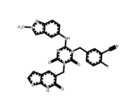 Cn1cc2cc(Nc3nc(=O)n(Cc4cc5ccsc5[nH]c4=O)c(=O)n3Cc3ccc(F)c(C#N)c3)ccc2n1